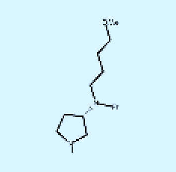 CCN(CCCCOC)[C@H]1CCNC1